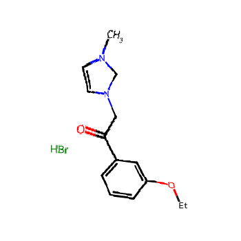 Br.CCOc1cccc(C(=O)CN2C=CN(C)C2)c1